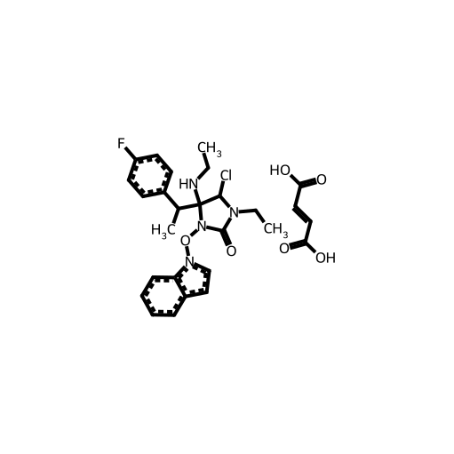 CCNC1(C(C)c2ccc(F)cc2)C(Cl)N(CC)C(=O)N1On1ccc2ccccc21.O=C(O)C=CC(=O)O